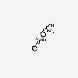 N[C@H](CO)Cc1ccc(NC(=O)OCc2ccccc2)cc1